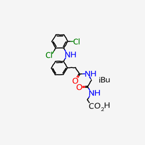 CC[C@H](C)[C@H](NC(=O)Cc1ccccc1Nc1c(Cl)cccc1Cl)C(=O)NCC(=O)O